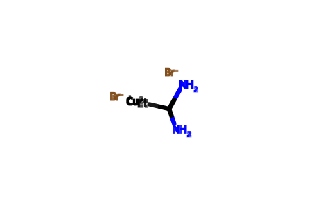 CCC(N)N.[Br-].[Br-].[Cu+2]